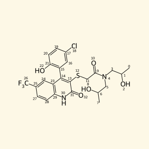 CC(O)CN(CC(C)O)C(=O)CSc1c(-c2cc(Cl)ccc2O)c2cc(C(F)(F)F)ccc2[nH]c1=O